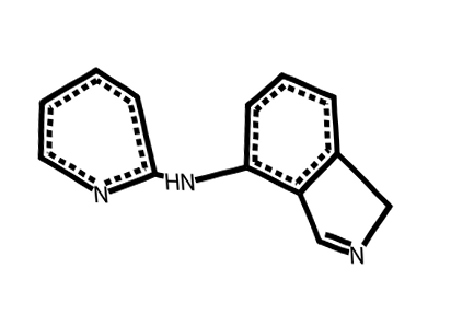 C1=NCc2cccc(Nc3ccccn3)c21